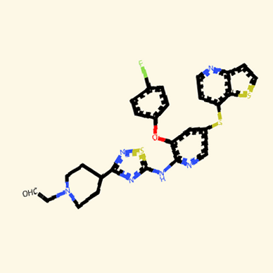 O=CCN1CCC(c2nsc(Nc3ncc(Sc4ccnc5ccsc45)cc3Oc3ccc(F)cc3)n2)CC1